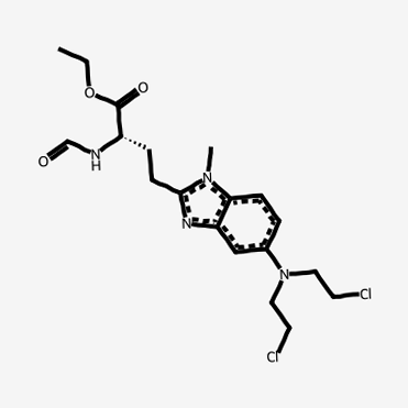 CCOC(=O)[C@H](CCc1nc2cc(N(CCCl)CCCl)ccc2n1C)NC=O